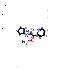 COC(C(=S)NC1CCCC1)c1ccccn1